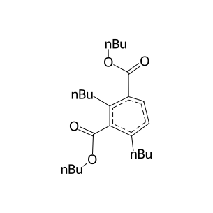 CCCCOC(=O)c1ccc(CCCC)c(C(=O)OCCCC)c1CCCC